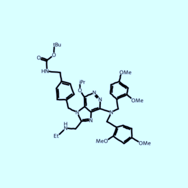 CCNCc1nc2c(N(Cc3ccc(OC)cc3OC)Cc3ccc(OC)cc3OC)nnc(OC(C)C)c2n1Cc1ccc(CNC(=O)OC(C)(C)C)cc1